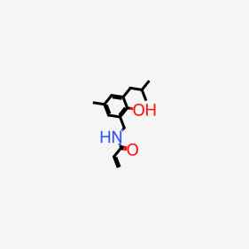 C=CC(=O)NCc1cc(C)cc(CC(C)C)c1O